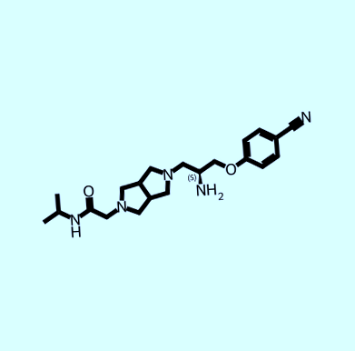 CC(C)NC(=O)CN1CC2CN(C[C@H](N)COc3ccc(C#N)cc3)CC2C1